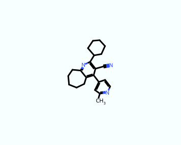 Cc1cc(-c2c(C#N)c(C3CCCCC3)nc3c2CCCCC3)ccn1